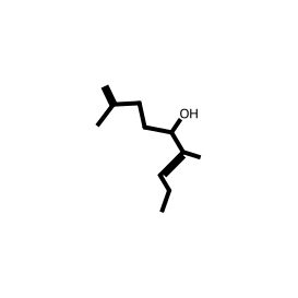 C=C(C)CCC(O)C(C)=CCC